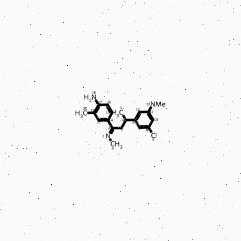 C/N=C(\CC(C)c1cc(Cl)cc(NC)c1)c1ccc(N)c(C)c1